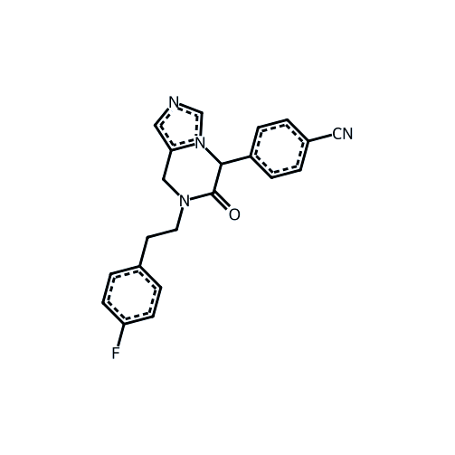 N#Cc1ccc(C2C(=O)N(CCc3ccc(F)cc3)Cc3cncn32)cc1